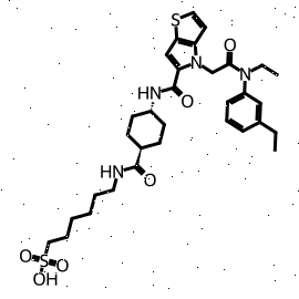 CCc1cccc(N(CC)C(=O)Cn2c(C(=O)N[C@H]3CC[C@H](C(=O)NCCCCCCS(=O)(=O)O)CC3)cc3sccc32)c1